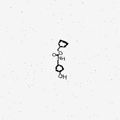 O=C(NCc1ccc(O)cc1)OCc1ccccc1